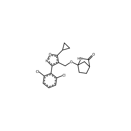 O=C1NC2(OCc3c(-c4c(Cl)cccc4Cl)noc3C3CC3)CCC1C2